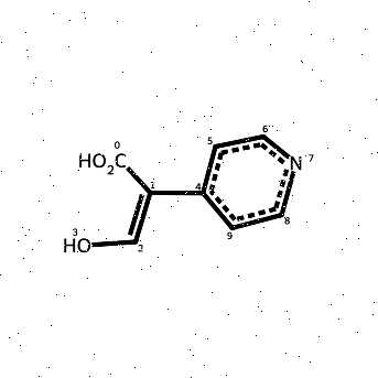 O=C(O)C(=CO)c1ccncc1